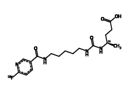 C[C@H](CCC(=O)O)NC(=O)NCCCCCNC(=O)c1ccc([18F])nc1